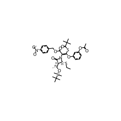 CCS[C@@H]1[C@@H]([C@@H](C)O[Si](C)(C)C(C)(C)C)C(=O)N1C(C(=O)OCc1ccc([N+](=O)[O-])cc1)=C(Oc1cccc(OC(C)=O)c1)SC(=O)C(C)(C)C